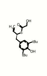 C=C[C@H](Cc1cc(C(C)(C)C)c(O)c(C(C)(C)C)c1)SC(=O)CO